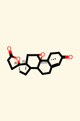 C[C@]12CCC(=O)C=C1CCC1C3CC[C@@]4(CCC(=O)O4)[C@@]3(C)CC3O[C@]312